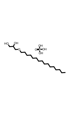 CCCCCCCCCCCCCCCCOCC(O)CO.O=P(O)(O)O